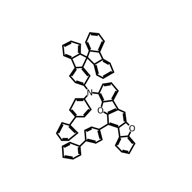 c1ccc(-c2ccc(-c3c4oc5c(N(c6ccc(-c7ccccc7)cc6)c6ccc7c(c6)C6(c8ccccc8-c8ccccc86)c6ccccc6-7)cccc5c4cc4oc5ccccc5c34)cc2)cc1